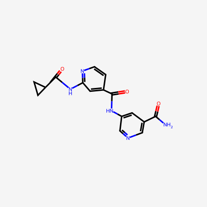 NC(=O)c1cncc(NC(=O)c2ccnc(NC(=O)C3CC3)c2)c1